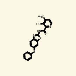 COc1ccnc(C(=O)Nc2nc3ccc(Sc4ccccc4)cc3s2)c1O